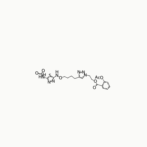 CC(=O)Oc1ccccc1C(=O)OCCn1cc(CCCCONc2nnc(N[SH](=O)=O)s2)nn1